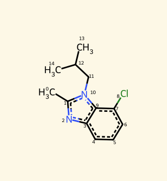 Cc1nc2cccc(Cl)c2n1CC(C)C